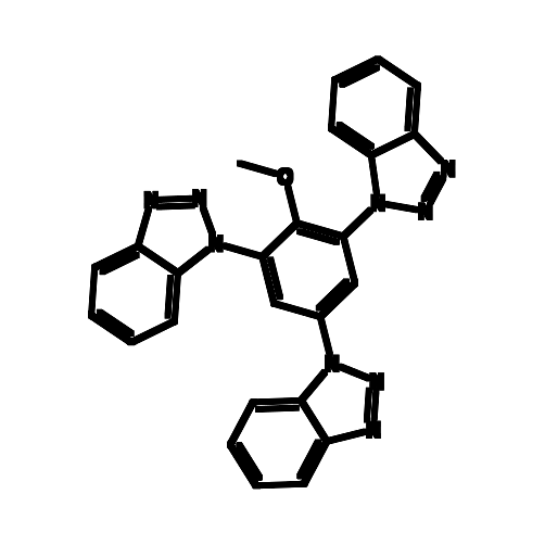 COc1c(-n2nnc3ccccc32)cc(-n2nnc3ccccc32)cc1-n1nnc2ccccc21